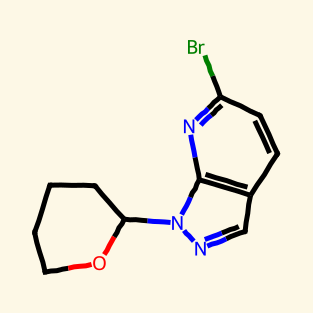 Brc1ccc2cnn(C3CCCCO3)c2n1